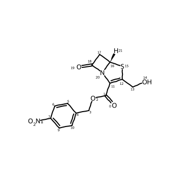 O=C(OCc1ccc([N+](=O)[O-])cc1)C1=C(CO)S[C@H]2CC(=O)N12